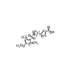 COc1cc(C)c(S(=O)(=O)N(C)CCc2cc(C(=O)O)co2)c(C)c1